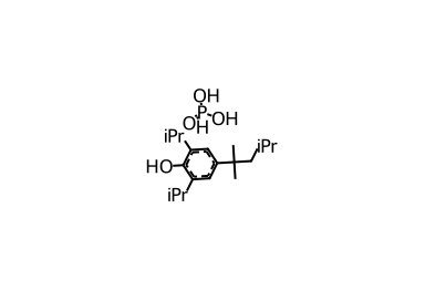 CC(C)CC(C)(C)c1cc(C(C)C)c(O)c(C(C)C)c1.O=[PH](O)O